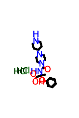 CC(NC(=O)N1CCN(C2CCNCC2)CC1)(Oc1ccccc1)C(=O)O.Cl.Cl